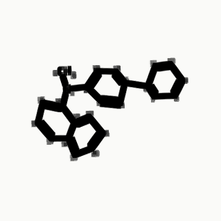 CN(c1c#cc(-c2ccccc2)cc1)c1cccc2ccccc12